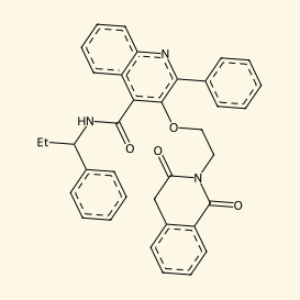 CCC(NC(=O)c1c(OCCN2C(=O)Cc3ccccc3C2=O)c(-c2ccccc2)nc2ccccc12)c1ccccc1